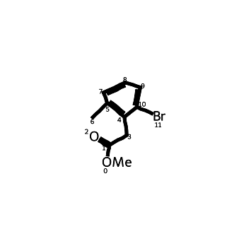 COC(=O)Cc1c(C)cccc1Br